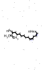 CCCCCC/C=C\C/C=C\CCCCCCCC(CCC)N(C)C